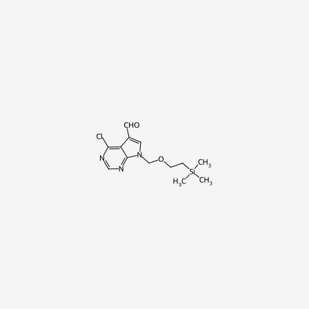 C[Si](C)(C)CCOCn1cc(C=O)c2c(Cl)ncnc21